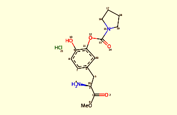 COC(=O)[C@@H](N)Cc1ccc(O)c(OC(=O)N2CCCC2)c1.Cl